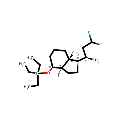 CC[Si](CC)(CC)O[C@H]1CCC[C@]2(C)[C@@H]([C@H](C)CC(F)F)CC[C@@H]12